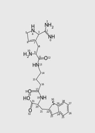 N=C(N)C1NCC=C1CC(N)C(=O)NCCCC(=O)NC(Cc1cc2ccccc2s1)C(=O)O